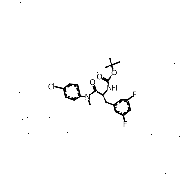 CN(C(=O)[C@H](Cc1cc(F)cc(F)c1)NC(=O)OC(C)(C)C)c1ccc(Cl)cc1